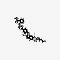 CCCCOC(=O)Nc1ccc2ccn(Cc3ccc(-c4nnn(Cc5ccccc5C(=O)OC)n4)cc3OC)c2c1